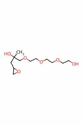 CC(O)(COCCOCCOCCO)CC1CO1